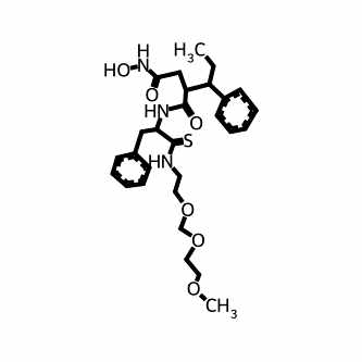 CCC(c1ccccc1)C(CC(=O)NO)C(=O)NC(Cc1ccccc1)C(=S)NCCOCOCCOC